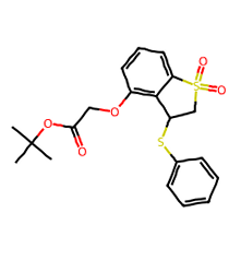 CC(C)(C)OC(=O)COc1cccc2c1C(Sc1ccccc1)CS2(=O)=O